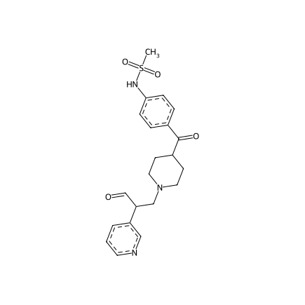 CS(=O)(=O)Nc1ccc(C(=O)C2CCN(CC(C=O)c3cccnc3)CC2)cc1